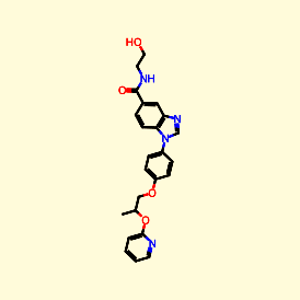 CC(COc1ccc(-n2cnc3cc(C(=O)NCCO)ccc32)cc1)Oc1ccccn1